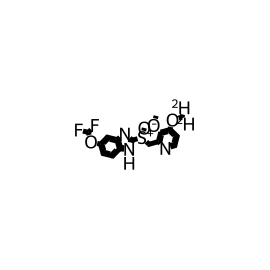 [2H]C([2H])Oc1ccnc(C[S+]([O-])c2nc3cc(OC(F)F)ccc3[nH]2)c1OC